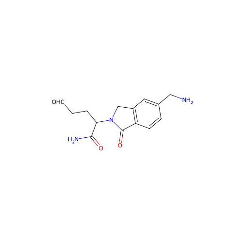 NCc1ccc2c(c1)CN(C(CCC=O)C(N)=O)C2=O